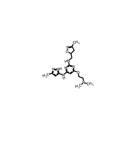 CC1=NOC(CNc2nc(Nc3cc(C)n[nH]3)cc(OCCN(C)C)n2)C1